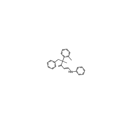 C=C(C=CNc1ccccc1)C(C)(Cc1ccccc1)c1ccccc1C